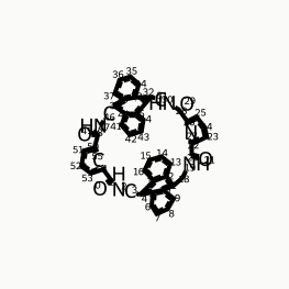 O=C1NCc2c3ccccc3c(c3ccccc23)CNC(=O)c2cccc(n2)C(=O)NCc2c3ccccc3c(c3ccccc23)CNC(=O)c2cccc1c2